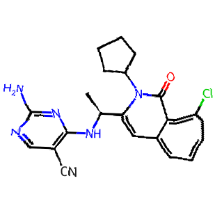 C[C@H](Nc1nc(N)ncc1C#N)c1cc2cccc(Cl)c2c(=O)n1C1CCCC1